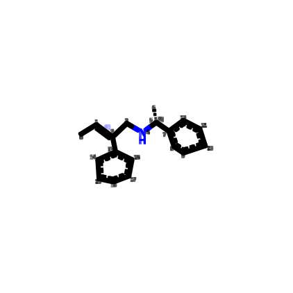 C/C=C(/CN[C@H](C)c1ccccc1)c1ccccc1